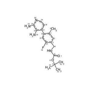 Cc1cc(CNC(=O)OC(C)(C)C)c(F)cc1-c1ccnc(N)c1N